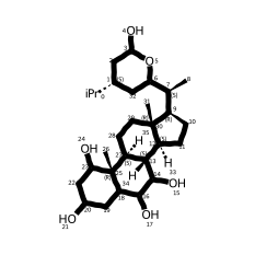 CC(C)[C@@H]1CC(O)OC([C@@H](C)[C@H]2CC[C@H]3[C@@H]4C(O)C(O)C5CC(O)CC(O)[C@]5(C)[C@H]4CC[C@]23C)C1